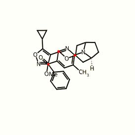 COC(=O)c1cnc(N2C3CC[C@H]2CC(OCc2c(-c4ccccc4)noc2C2CC2)C3)c(C)c1